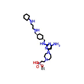 CCOP(=O)(O)CCN1CCCN(c2cc(N)nc(NC[C@H]3CC[C@H](CNCCCNC4CCCCC4)CC3)n2)CC1